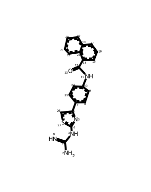 N=C(N)Nc1nc(-c2ccc(NC(=O)c3cccc4ccccc34)cc2)cs1